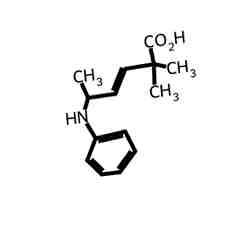 CC(C=CC(C)(C)C(=O)O)Nc1ccccc1